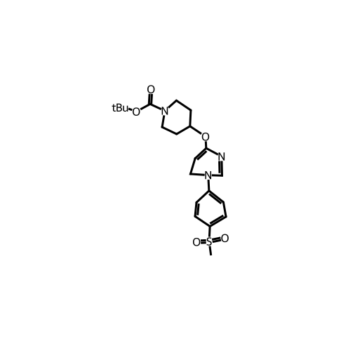 CC(C)(C)OC(=O)N1CCC(OC2=CCN(c3ccc(S(C)(=O)=O)cc3)C=N2)CC1